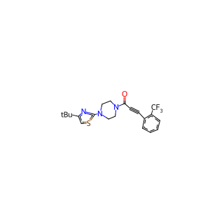 CC(C)(C)c1csc(N2CCN(C(=O)C#Cc3ccccc3C(F)(F)F)CC2)n1